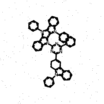 C1=C(c2nc(-c3ccccc3)nc(-n3c4ccccc4c4c3c3c(c5ccccc5n3-c3ccccc3)n4-c3ccccc3)n2)CCc2c1c1ccccc1n2-c1ccccc1